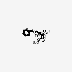 CCC(COCc1ccccc1)(C(=N)C(=O)OC(C)(C)C)C(=O)O